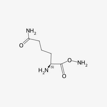 NOC(=O)[C@@H](N)CCCC(N)=O